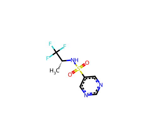 C[C@@H](NS(=O)(=O)c1cncnc1)C(F)(F)F